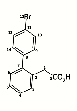 O=C(O)Cc1ccccc1-c1ccc(Br)cc1